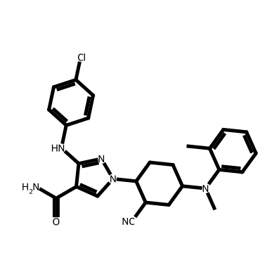 Cc1ccccc1N(C)C1CCC(n2cc(C(N)=O)c(Nc3ccc(Cl)cc3)n2)C(C#N)C1